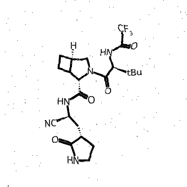 CC(C)(C)[C@H](NC(=O)C(F)(F)F)C(=O)N1C[C@@H]2CCC2[C@H]1C(=O)N[C@H](C#N)C[C@@H]1CCNC1=O